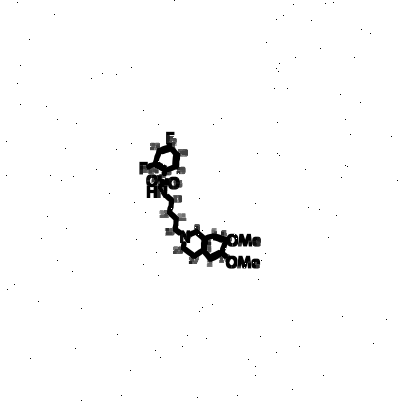 COc1cc2c(cc1OC)CN(CCCCNS(=O)(=O)c1ccc(F)cc1F)CC2